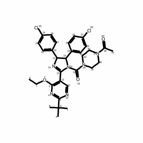 CCOc1nc(C(C)(C)C)ncc1C1=NC(c2ccc(Cl)cc2)C(c2ccc(Cl)cc2)N1C(=O)N1CCN(C(C)=O)CC1